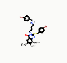 COc1cc2c(=O)n(CCCC[N+](C)(C)Cc3ccc(Br)cc3)c(SCc3ccc(Br)cc3)nc2c(OC)c1OC